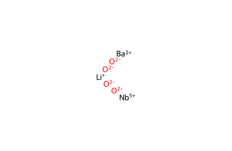 [Ba+2].[Li+].[Nb+5].[O-2].[O-2].[O-2].[O-2]